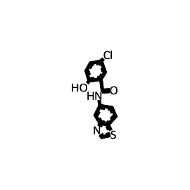 O=C(Nc1ccc2scnc2c1)c1cc(Cl)ccc1O